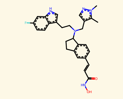 Cc1c(CN(CCc2c[nH]c3cc(F)ccc23)C2CCc3cc(/C=C/C(=O)NO)ccc32)cnn1C